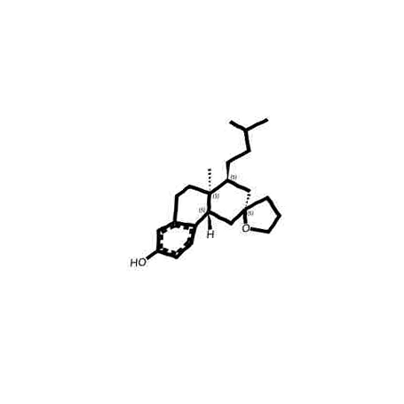 CC(C)CC[C@H]1C[C@@]2(CCCO2)C[C@@H]2c3ccc(O)cc3CC[C@@]12C